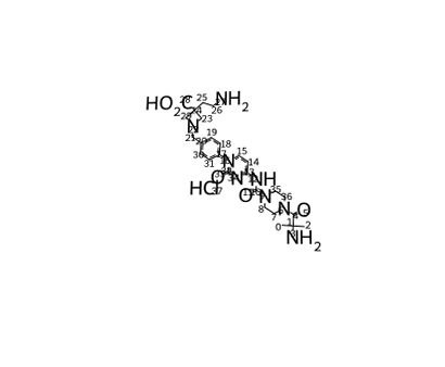 CC(C)(N)C(=O)N1CCN(C(=O)Nc2ccn(-c3ccc(CN4CC(CCN)(C(=O)O)C4)cc3)c(=O)n2)CC1.Cl